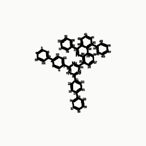 c1ccc(-c2ccc(-c3nc(-c4ccc(-c5ccccc5)cc4)nc(-c4cccc5c4nc(-c4ccccc4)c4cccc(-c6ccccc6)c45)n3)cc2)cc1